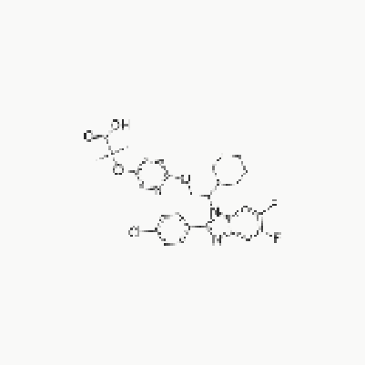 CC(C)(Oc1ccc(OCC(C2CCCCC2)n2c(-c3ccc(Cl)cc3)nc3cc(F)c(F)cc32)nc1)C(=O)O